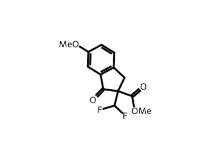 COC(=O)C1(C(F)F)Cc2ccc(OC)cc2C1=O